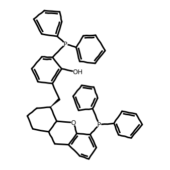 Oc1c(C[C@@H]2CCCC3Cc4cccc(P(c5ccccc5)c5ccccc5)c4OC32)cccc1P(c1ccccc1)c1ccccc1